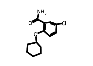 NC(=O)c1cc(Cl)ccc1OC1CCCCC1